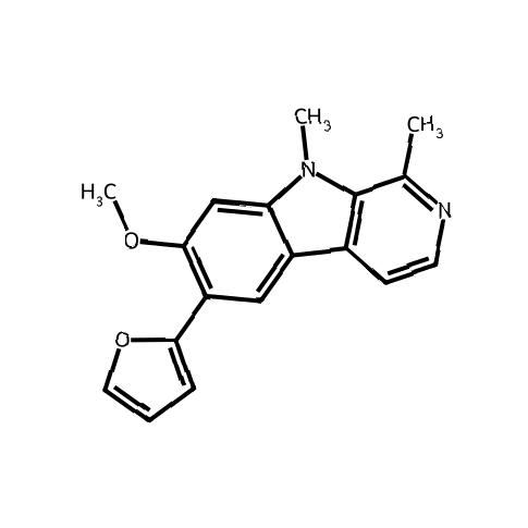 COc1cc2c(cc1-c1ccco1)c1ccnc(C)c1n2C